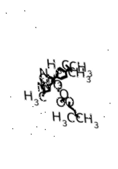 Cc1cc(/C(OCOC(=O)OCCC(C)C)=C(\C#N)c2ccc(C(C)(C)C)cc2)n(C)n1